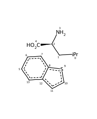 CC(C)C[C@H](N)C(=O)O.c1ccc2sccc2c1